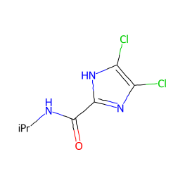 CC(C)NC(=O)c1nc(Cl)c(Cl)[nH]1